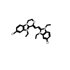 CCN1C(=CC=C2OCCn3c2[n+](CC)c2cc(Cl)ccc23)N(CC)c2cc(Cl)ccc21